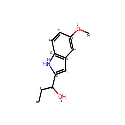 CCC(O)c1cc2cc(OC)ccc2[nH]1